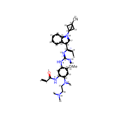 C=CC(=O)Nc1cc(N/C(N=C)=N/C(=C\C)c2cn(C34CC(C#N)(C3)C4)c3ccccc23)c(OC)cc1N(C)CCN(C)C